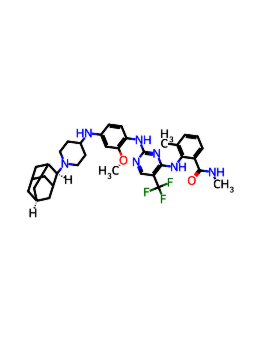 CNC(=O)c1cccc(C)c1Nc1nc(Nc2ccc(NC3CCN([C@H]4C5CC6CC4C[C@H](C6)C5)CC3)cc2OC)ncc1C(F)(F)F